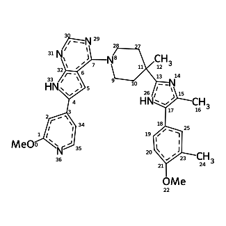 COc1cc(-c2cc3c(N4CCC(C)(c5nc(C)c(-c6ccc(OC)c(C)c6)[nH]5)CC4)ncnc3[nH]2)ccn1